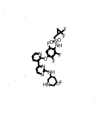 O=S(=O)(CC1CC1(F)F)Nc1c(F)cc(Oc2ncccc2-c2ccnc(NC3CNC[C@@H](F)C3)n2)c(F)c1F